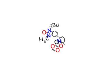 CC1=C(Oc2cccc(-c3ccc4c(c3)n(C)c(=O)n4CC(C)(C)C)n2)OC=CO1